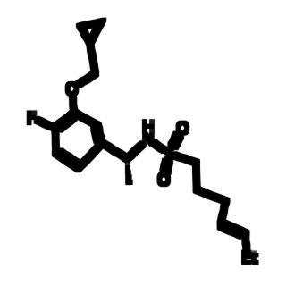 CC/C=C/CCCS(=O)(=O)N[C@H](C)c1ccc(F)c(OCC2CC2)c1